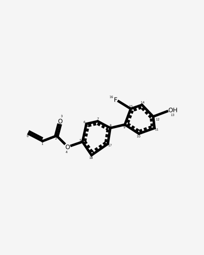 C=CC(=O)Oc1ccc(-c2ccc(O)cc2F)cc1